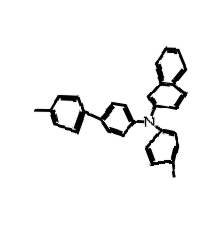 Cc1ccc(-c2ccc(N(c3ccc(C)cc3)c3ccc4ccccc4c3)cc2)cc1